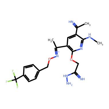 CNc1nc(OCC(=N)NN)c(/C(C)=N/OCc2ccc(C(F)(F)F)cc2)cc1C(C)=N